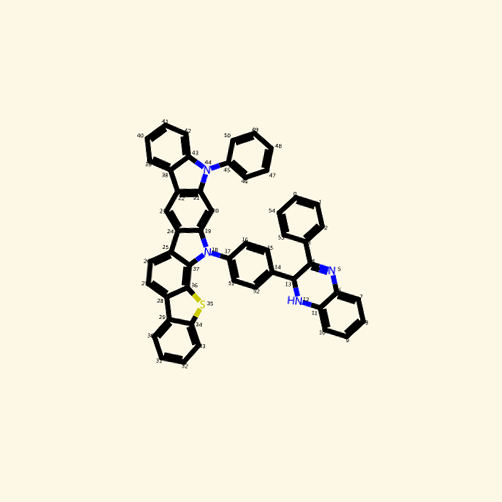 c1ccc(C2=Nc3ccccc3NC2c2ccc(-n3c4cc5c(cc4c4ccc6c7ccccc7sc6c43)c3ccccc3n5-c3ccccc3)cc2)cc1